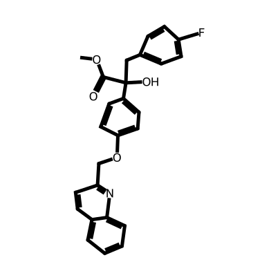 COC(=O)C(O)(Cc1ccc(F)cc1)c1ccc(OCc2ccc3ccccc3n2)cc1